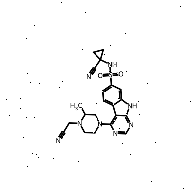 CC1CN(c2ncnc3[nH]c4cc(S(=O)(=O)NC5(C#N)CC5)ccc4c23)CCN1CC#N